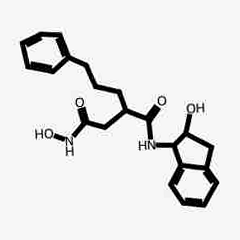 O=C(CC(CCCc1ccccc1)C(=O)NC1c2ccccc2CC1O)NO